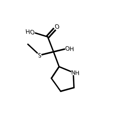 CSC(O)(C(=O)O)C1CCCN1